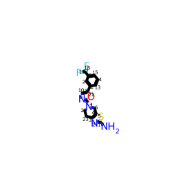 Nc1nc2c(s1)CN(c1ncc(-c3cccc(C(F)F)c3)o1)CC2